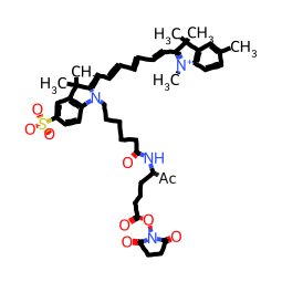 CC(=O)C(CCCC(=O)ON1C(=O)CCC1=O)NC(=O)CCCCCN1\C(=C/C=C/C=C/C=C/C2=[N+](C)c3ccc(C)cc3C2(C)C)C(C)(C)c2cc(S(=O)(=O)[O-])ccc21